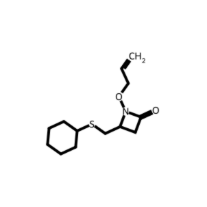 C=CCON1C(=O)CC1CSC1CCCCC1